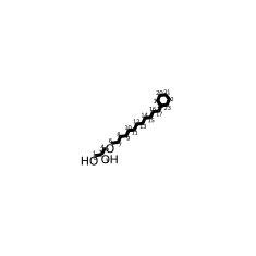 OCC(O)COCCCCCCCCCCCCC1CCCCC1